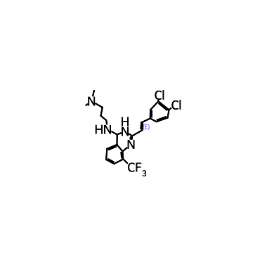 CN(C)CCCNC1NC(/C=C/c2ccc(Cl)c(Cl)c2)=Nc2c1cccc2C(F)(F)F